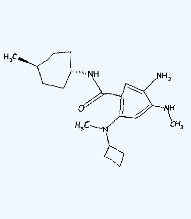 CNc1cc(N(C)C2CCC2)c(C(=O)N[C@H]2CC[C@H](C)CC2)cc1N